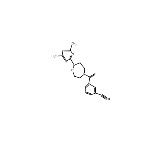 C#Cc1cccc(C(=O)N2CCON(c3nc(C)cc(C)n3)CC2)c1